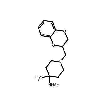 CC(=O)NC1(C)CCN(CC2COc3ccccc3O2)CC1